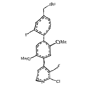 COc1cc(-c2ccnc(Cl)c2F)c(OC)cc1-c1ccc(CC(C)(C)C)cc1F